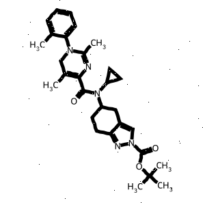 CC1=NC(C(=O)N(C2CC2)C2CCc3nn(C(=O)OC(C)(C)C)cc3C2)=C(C)CN1c1ccccc1C